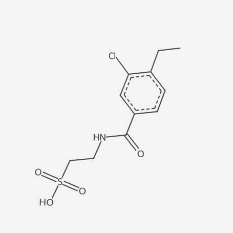 CCc1ccc(C(=O)NCCS(=O)(=O)O)cc1Cl